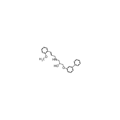 COc1ccccc1C=CCNCC(O)COc1cccc(-c2ccccc2)c1